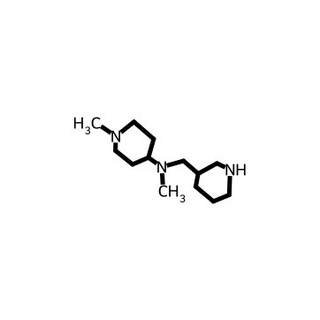 CN1CCC(N(C)CC2CCCNC2)CC1